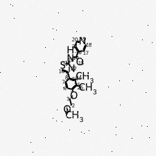 COCCOc1ccc(-c2csc(NC(=O)c3ccncc3)n2)c(C)c1C